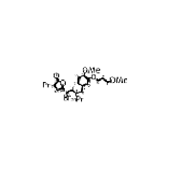 COCCCOc1cc(CC(CC(Br)[C@@H]2C[C@@H](C(C)C)C(=O)O2)C(C)C)ccc1OC